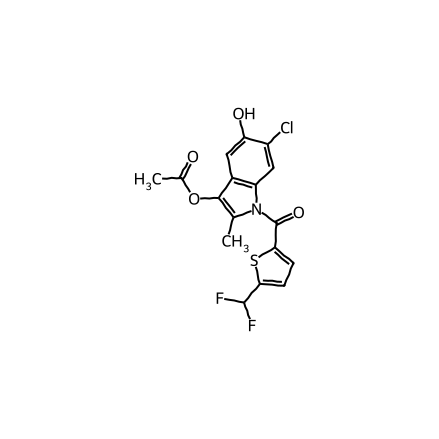 CC(=O)Oc1c(C)n(C(=O)c2ccc(C(F)F)s2)c2cc(Cl)c(O)cc12